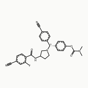 CN(C)C(=O)Oc1ccc([C@@H](c2ccc(C#N)cc2)N2CCC(NC(=O)c3ccc(C#N)cc3F)C2)cc1